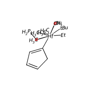 C[CH2][Hf]([CH3])([CH3])([CH3])([CH3])([CH3])([CH2]P)([C]1=CC=CC1)([C](C)(C)C)[C](C)(C)C